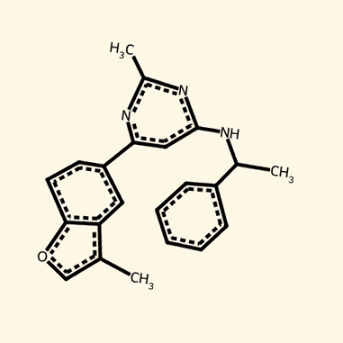 Cc1nc(NC(C)c2ccccc2)cc(-c2ccc3occ(C)c3c2)n1